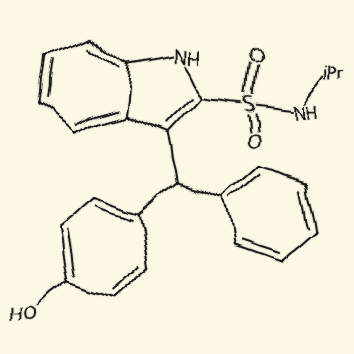 CC(C)NS(=O)(=O)c1[nH]c2ccccc2c1C(c1ccccc1)c1ccc(O)cc1